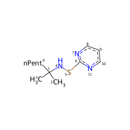 CCCCCC(C)(C)NSc1ncccn1